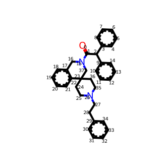 O=C(C(c1ccccc1)c1ccccc1)N1Cc2ccccc2C2(CCN(CCc3ccccc3)CC2)C1